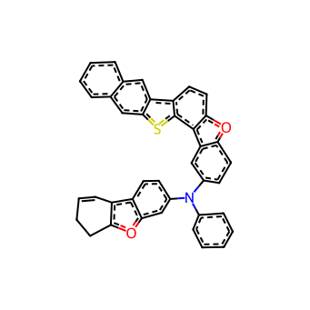 C1=Cc2c(oc3cc(N(c4ccccc4)c4ccc5oc6ccc7c8cc9ccccc9cc8sc7c6c5c4)ccc23)CC1